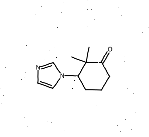 CC1(C)C(=O)CCCC1n1ccnc1